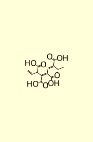 C=CC(C(=O)O)/C(C(=O)O)=C(\C=C(CC)C(=O)O)C(=O)O